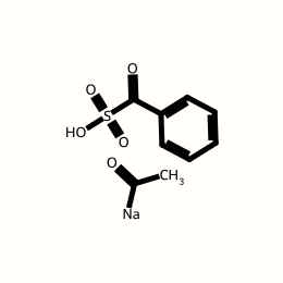 C[C](=O)[Na].O=C(c1ccccc1)S(=O)(=O)O